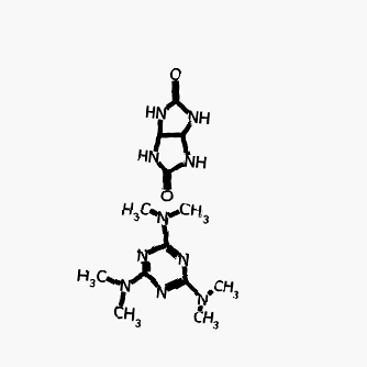 CN(C)c1nc(N(C)C)nc(N(C)C)n1.O=C1NC2NC(=O)NC2N1